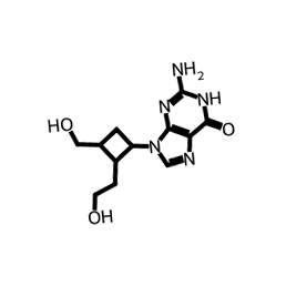 Nc1nc2c(ncn2C2CC(CO)C2CCO)c(=O)[nH]1